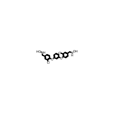 ONCc1ccc(Oc2cccc(Oc3ccc(CNO)cc3Cl)c2)c(Cl)c1